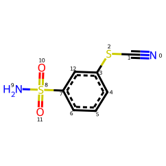 N#CSc1cccc(S(N)(=O)=O)c1